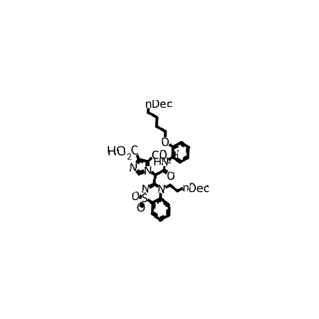 CCCCCCCCCCCCCCOc1ccccc1NC(=O)C(C1=NS(=O)(=O)c2ccccc2N1CCCCCCCCCCCC)n1cnc(C(=O)O)c1C(=O)O